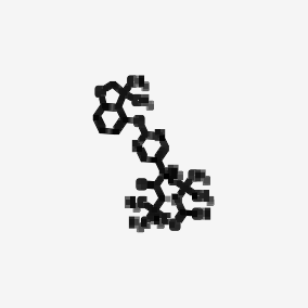 CC1(C)COc2cccc(Oc3ncc(NC(=O)[C@H](N(C(=O)O)C(C)(C)C)C(C)(C)C)cn3)c21